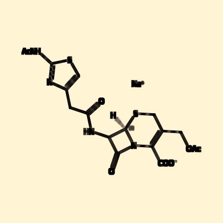 CC(=O)Nc1nc(CC(=O)NC2C(=O)N3C(C(=O)[O-])=C(COC(C)=O)CS[C@H]23)cs1.[Na+]